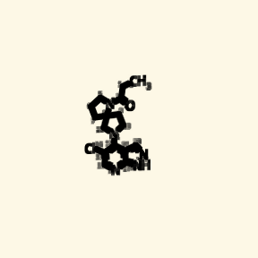 CCC(=O)N1CCCC12CCN(c1c(Cl)cnc3[nH]ncc13)C2